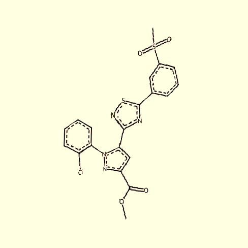 COC(=O)c1cc(-c2nsc(-c3cccc(S(C)(=O)=O)c3)n2)n(-c2ccccc2Cl)n1